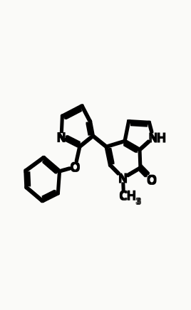 Cn1cc(-c2cccnc2Oc2ccccc2)c2cc[nH]c2c1=O